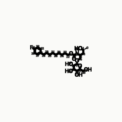 C[C@@H](O)CC(CO[C@H]1OC(CO)[C@H](O)C(O)[C@@H]1O)NC(=O)OCCCCCCCCCc1ccc(F)cc1